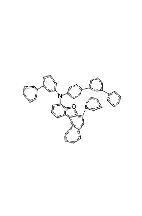 c1ccc(-c2cccc(-c3ccc(N(c4cccc(-c5ccccc5)c4)c4cccc5c4oc4c(-c6ccccc6)cc6ccccc6c45)cc3)c2)cc1